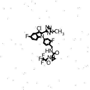 Cn1nnc(-c2c(Cl)c3cc(F)ccc3n2-c2ccc(CNC(=O)C3(NC(=O)C(F)(F)F)CC3)c(F)c2)n1